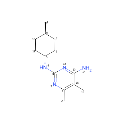 Cc1nc(N[C@H]2CC[C@H](C)CC2)nc(N)c1C